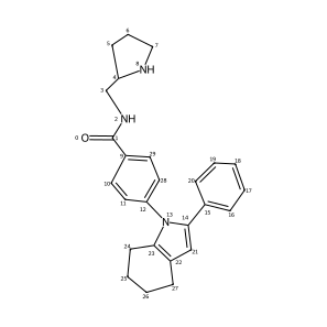 O=C(NCC1CCCN1)c1ccc(-n2c(-c3ccccc3)cc3c2CCCC3)cc1